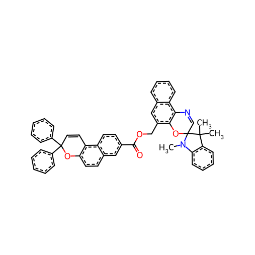 CN1c2ccccc2C(C)(C)C12C=Nc1c(c(COC(=O)c3ccc4c5c(ccc4c3)OC(c3ccccc3)(c3ccccc3)C=C5)cc3ccccc13)O2